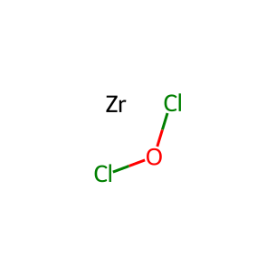 ClOCl.[Zr]